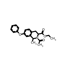 CCOC(=O)C1Cc2ccc(Oc3ccccc3)cc2C(C)N1C(C)=O